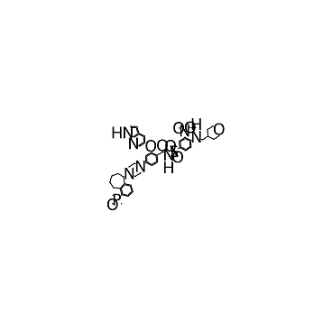 CP(C)(=O)c1cccc2c1CCCCC2N1CCN(c2ccc(C(=O)NS(=O)(=O)c3ccc(NCC4CCOCC4)c([N+](=O)[O-])c3)c(Oc3cnc4[nH]ccc4c3)c2)CC1